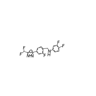 Fc1ccc(NCc2ccc(-c3nnc(C(F)F)o3)cc2F)cc1F